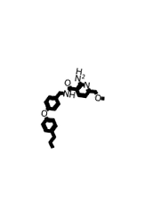 CCCc1ccc(Oc2ccc(CNC(=O)c3ccc(COC)nc3N)cc2)cc1